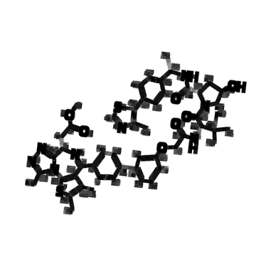 COC(=O)C[C@@H]1N=C(c2ccc(-c3cccc(OCC(=O)N[C@H](C(=O)N4C[C@H](O)C[C@H]4C(=O)N[C@@H](C)c4ccc(-c5scnc5C)cc4)C(C)(C)C)c3)cc2)c2c(sc(C)c2C)-n2c(C)nnc21